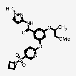 COC[C@H](C)Oc1cc(Oc2ccc(S(=O)(=O)N3CCC3)cn2)cc(C(=O)Nc2ccn(C)n2)c1